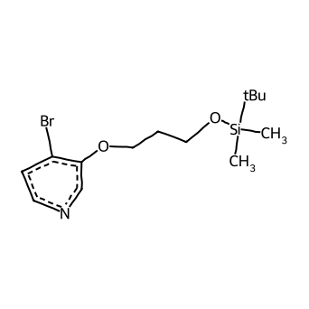 CC(C)(C)[Si](C)(C)OCCCOc1cnccc1Br